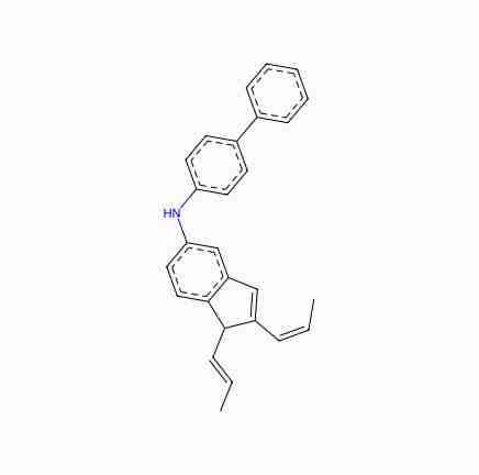 CC=CC1C(/C=C\C)=Cc2cc(Nc3ccc(-c4ccccc4)cc3)ccc21